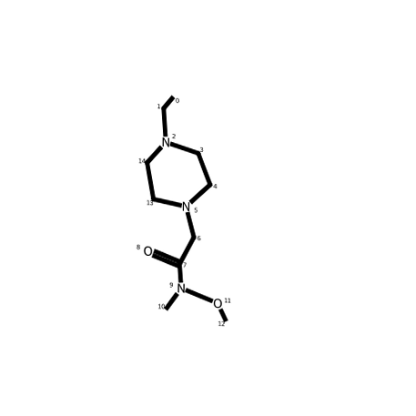 CCN1CCN(CC(=O)N(C)OC)CC1